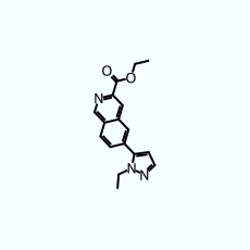 CCOC(=O)c1cc2cc(-c3ccnn3CC)ccc2cn1